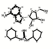 N=C(NC1CCCCC1)NC1CCCCC1.Nc1ncnc2c1ncn2[C@@H]1O[C@H](CO)[C@@H](O)[C@H]1O